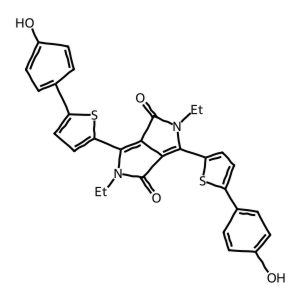 CCN1C(=O)C2=C(c3ccc(-c4ccc(O)cc4)s3)N(CC)C(=O)C2=C1c1ccc(-c2ccc(O)cc2)s1